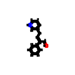 O=CC(=CCc1cccnc1)c1ccccc1